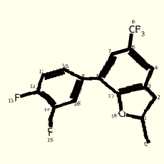 CC1Cc2cc(C(F)(F)F)cc(-c3ccc(F)c(F)c3)c2O1